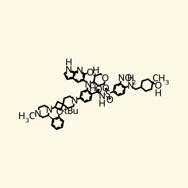 CN1CCN(C2CC3(CCN(c4ccc(C(=O)NS(=O)(=O)c5ccc(NCC6CCC(C)(O)CC6)c([N+](=O)[O-])c5)c(N5c6cc7cc[nH]c7nc6O[C@H]6COCC[C@@H]65)c4)CC3)C2)[C@@H](c2ccccc2OC(C)(C)C)C1